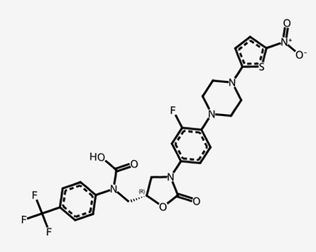 O=C(O)N(C[C@@H]1CN(c2ccc(N3CCN(c4ccc([N+](=O)[O-])s4)CC3)c(F)c2)C(=O)O1)c1ccc(C(F)(F)F)cc1